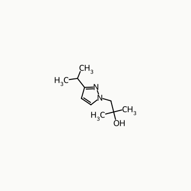 CC(C)c1ccn(CC(C)(C)O)n1